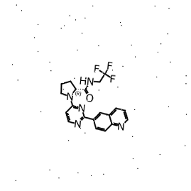 O=C(NCC(F)(F)F)[C@H]1CCCN1c1ccnc(-c2ccc3ncccc3c2)n1